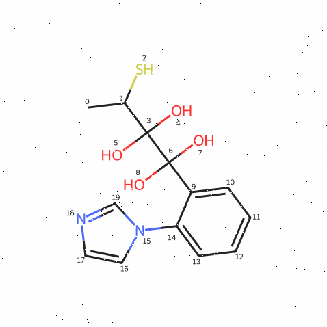 CC(S)C(O)(O)C(O)(O)c1ccccc1-n1ccnc1